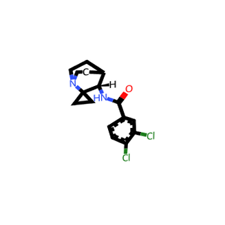 O=C(N[C@H]1C2CCN(CC2)C12CC2)c1ccc(Cl)c(Cl)c1